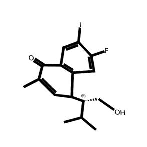 CC1=CC([C@H](CO)C(C)C)c2cc(F)c(I)cc2C1=O